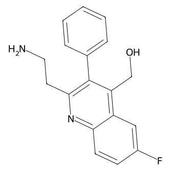 NCCc1nc2ccc(F)cc2c(CO)c1-c1ccccc1